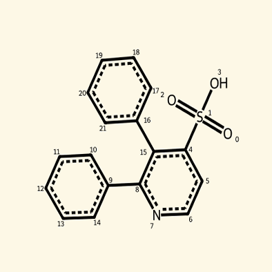 O=S(=O)(O)c1ccnc(-c2ccccc2)c1-c1ccccc1